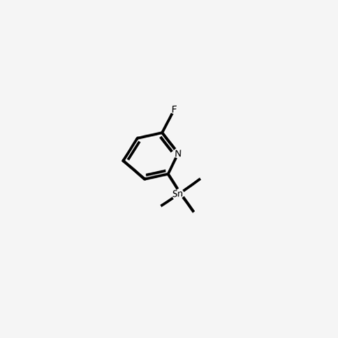 [CH3][Sn]([CH3])([CH3])[c]1cccc(F)n1